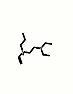 C=C[SiH](CCC)CCN(CC)CC